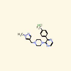 Cl.Cn1cc(CN2CCN(c3nccnc3-c3ccc(C(F)(F)F)cc3)CC2)cn1